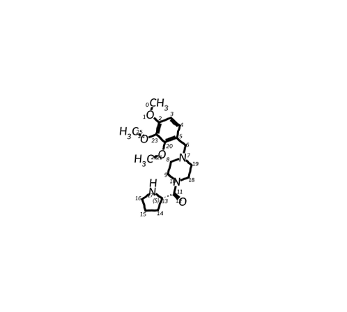 COc1ccc(CN2CCN(C(=O)[C@@H]3CCCN3)CC2)c(OC)c1OC